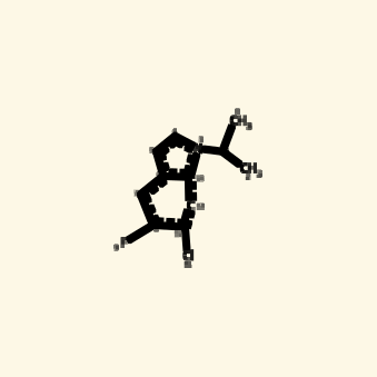 CC(C)n1ccc2cc(F)c(Cl)cc21